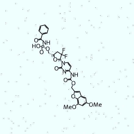 COc1cc(OC)c2oc(COC(=O)Nc3ccn([C@@H]4O[C@H](COP(=O)(O)NC(=O)c5ccccc5)CC4(F)F)c(=O)n3)cc2c1